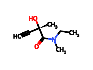 C#C[C@@](C)(O)C(=O)N(C)CC